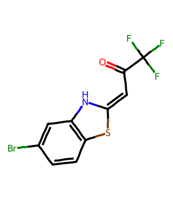 O=C(/C=C1\Nc2cc(Br)ccc2S1)C(F)(F)F